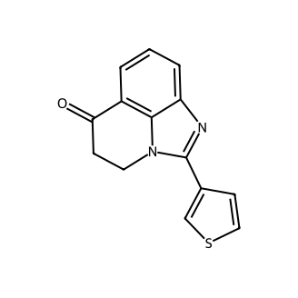 O=C1CCn2c(-c3ccsc3)nc3cccc1c32